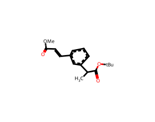 COC(=O)C=Cc1cccc(C(C)C(=O)OC(C)(C)C)c1